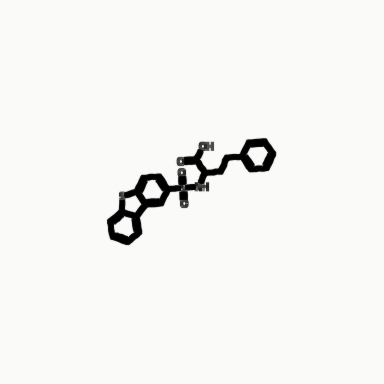 O=C(O)C(CCc1ccccc1)NS(=O)(=O)c1ccc2sc3ccccc3c2c1